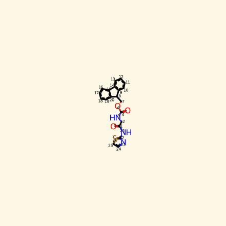 O=C(CNC(=O)OCC1c2ccccc2-c2ccccc21)Nc1nccs1